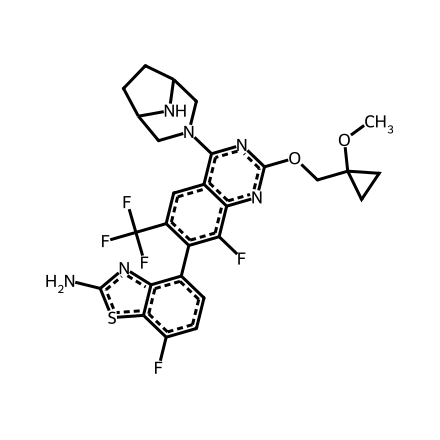 COC1(COc2nc(N3CC4CCC(C3)N4)c3cc(C(F)(F)F)c(-c4ccc(F)c5sc(N)nc45)c(F)c3n2)CC1